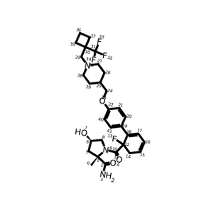 C[C@@]1(C(N)=O)C[C@@H](O)CN1C(=O)C1(F)CC=CC=C1c1ccc(OCC2CCN(CC3(C(F)(F)F)CCC3)CC2)cc1